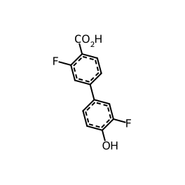 O=C(O)c1ccc(-c2ccc(O)c(F)c2)cc1F